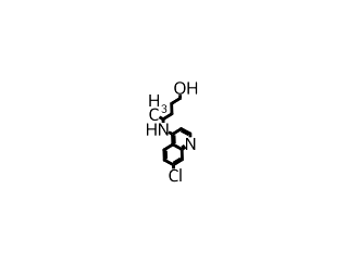 CC(CCCO)Nc1ccnc2cc(Cl)ccc12